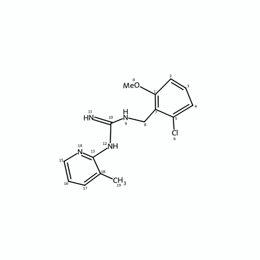 COc1cccc(Cl)c1CNC(=N)Nc1ncccc1C